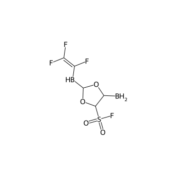 BC1OC(BC(F)=C(F)F)OC1S(=O)(=O)F